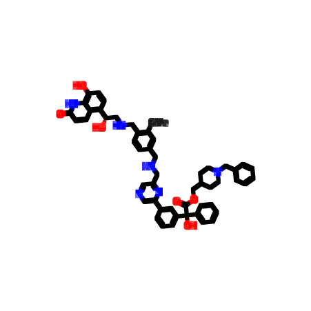 COc1cc(CNCc2cncc(-c3cccc(C(O)(C(=O)OCC4CCN(Cc5ccccc5)CC4)c4ccccc4)c3)n2)ccc1CNC[C@H](O)c1ccc(O)c2[nH]c(=O)ccc12